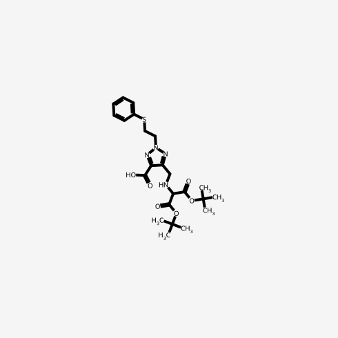 CC(C)(C)OC(=O)C(NCc1nn(CCSc2ccccc2)nc1C(=O)O)C(=O)OC(C)(C)C